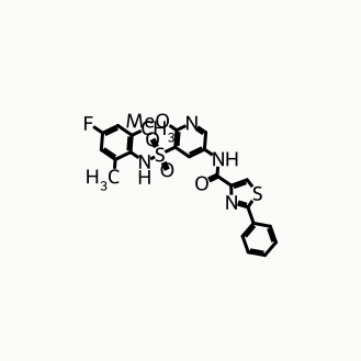 COc1ncc(NC(=O)c2csc(-c3ccccc3)n2)cc1S(=O)(=O)Nc1c(C)cc(F)cc1C